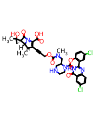 C[C@H]1C(C#CCOC(=O)N(C)CC2CNCCN2C(=O)Oc2ccc(Cl)cc2-c2nc3ccc(Cl)cc3c(=O)[nH]2)=C(C(=O)O)N2C(=O)[C@@]3(CC3(C)O)[C@@H]12